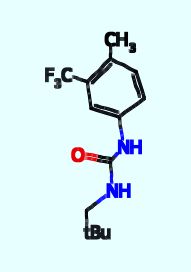 Cc1ccc(NC(=O)NCC(C)(C)C)cc1C(F)(F)F